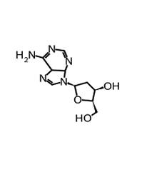 NC1=NC=NC2C1N=CN2[C@H]1C[C@@H](O)[C@@H](CO)O1